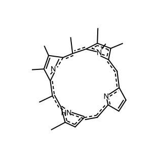 CC1=C(C)c2nc1c(C)c1[nH]c(cc3nc(cc4c(C)c(C)c(c2C)n4C)C=C3)cc1C